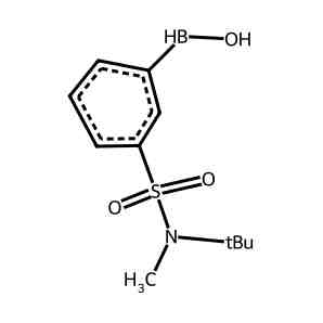 CN(C(C)(C)C)S(=O)(=O)c1cccc(BO)c1